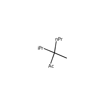 CCCC(C)(C(C)=O)C(C)C